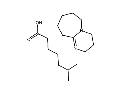 C1CCC2=NCCCN2CC1.CC(C)CCCCC(=O)O